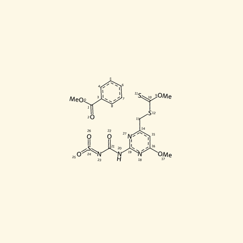 COC(=O)c1ccccc1.COC(=S)SCc1cc(OC)nc(NC(=O)N=S(=O)=O)n1